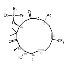 CC[Si](CC)(CC)O[C@H]1CC(=O)O[C@H](C(C)=O)C/C=C(/C(F)(F)F)C/C=C/[C@H](C)[C@H](O)[C@@H](C)C(=O)C1(C)C